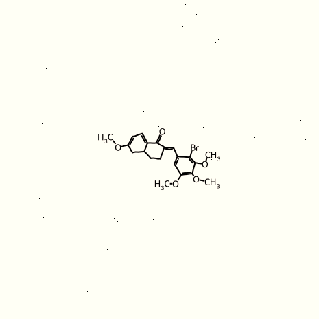 COC1=CC=C2C(=O)C(=Cc3cc(OC)c(OC)c(OC)c3Br)CCC2C1